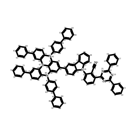 N#Cc1c(-c2nc(-c3ccccc3)nc(-c3ccccc3)n2)cccc1-n1c2ccccc2c2cc(-c3cc4c5c(c3)N(c3ccc(-c6ccccc6)cc3)c3ccc(-c6ccccc6)cc3B5c3cc(-c5ccccc5)ccc3N4c3ccc(-c4ccccc4)cc3)ccc21